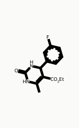 CCOC(=O)C1=C(C)NC(=O)NC1c1cccc(F)c1